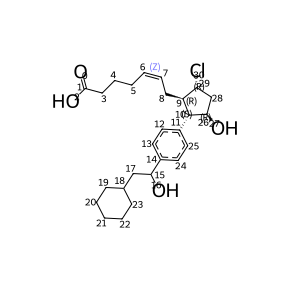 O=C(O)CCC/C=C\C[C@@H]1[C@@H](c2ccc(C(O)CC3CCCCC3)cc2)[C@H](O)C[C@H]1Cl